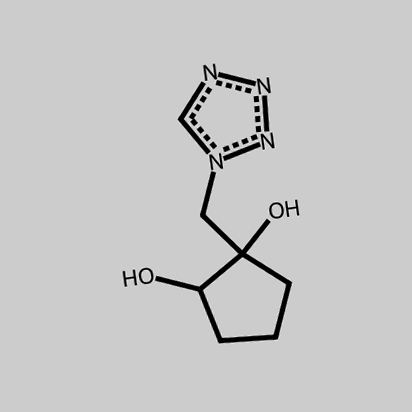 OC1CCCC1(O)Cn1cnnn1